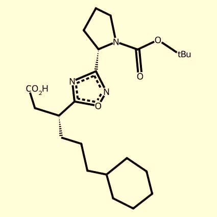 CC(C)(C)OC(=O)N1CCC[C@H]1c1noc([C@H](CCCC2CCCCC2)CC(=O)O)n1